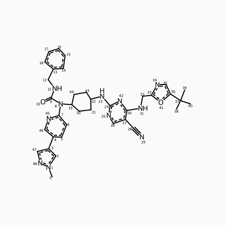 Cn1cc(-c2ccc(N(C(=O)NCc3ccccc3)C3CCC(Nc4ncc(C#N)c(NCc5ncc(C(C)(C)C)o5)n4)CC3)nc2)cn1